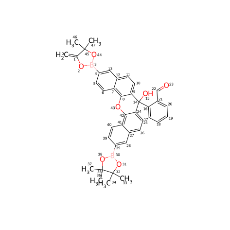 C=C1OB(c2ccc3c4c(ccc3c2)C(O)(c2ccccc2C=O)c2ccc3cc(B5OC(C)(C)C(C)(C)O5)ccc3c2O4)OC1(C)C